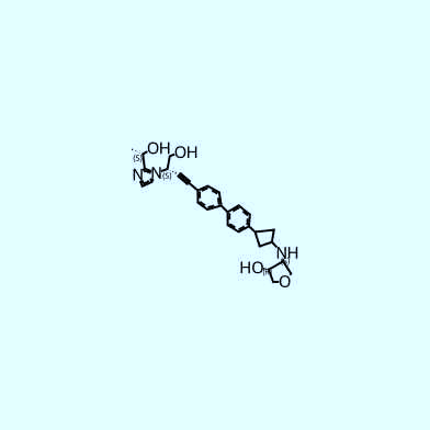 C[C@H](O)c1nccn1[C@@H](C#Cc1ccc(-c2ccc(C3CC(N[C@H]4COC[C@@H]4O)C3)cc2)cc1)CO